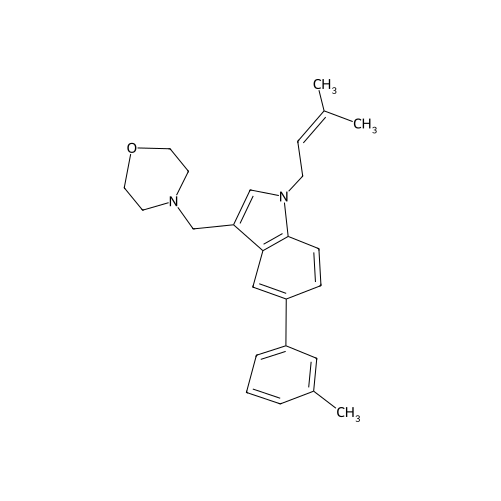 CC(C)=CCn1cc(CN2CCOCC2)c2cc(-c3cccc(C)c3)ccc21